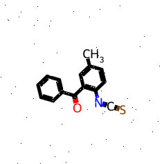 Cc1ccc(N=C=S)c(C(=O)c2ccccc2)c1